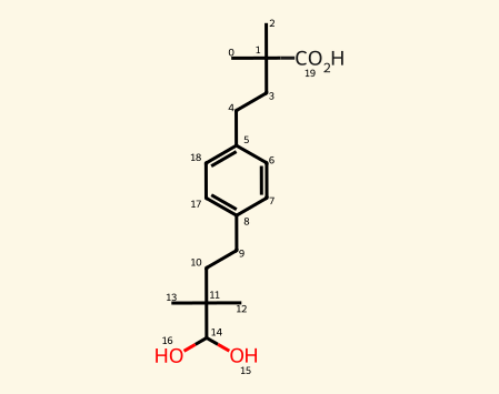 CC(C)(CCc1ccc(CCC(C)(C)C(O)O)cc1)C(=O)O